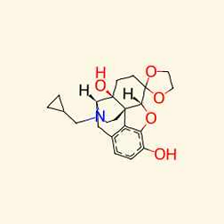 Oc1ccc2c3c1O[C@H]1C4(CC[C@@]5(O)[C@@H](C2)N(CC2CC2)CC[C@]315)OCCO4